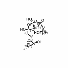 C[C@H]1CC(O)[C@@H](COP(=O)(O)OP(=O)(O)OP(=O)(O)O[PH](=O)O)O1